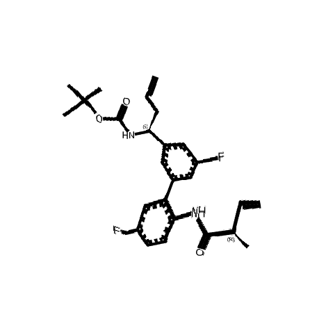 C=CC[C@H](NC(=O)OC(C)(C)C)c1cc(F)cc(-c2cc(F)ccc2NC(=O)[C@H](C)C=C)c1